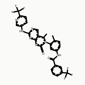 Cc1ccc(NC(=O)c2cccc(C(F)(F)F)c2)cc1-n1c(C)c2cnc(Nc3ccc(C(F)(F)F)nc3)nc2nc1=O